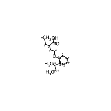 CCC(CCOc1ccccc1C(C)CC)C(=O)O